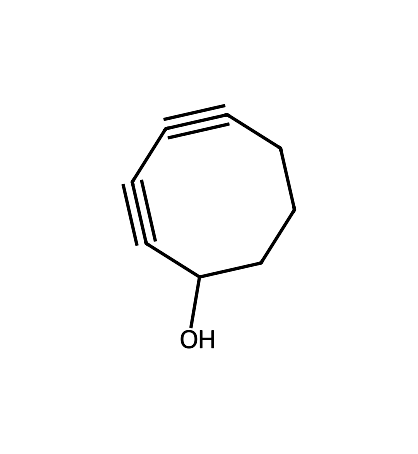 OC1C#CC#CCCC1